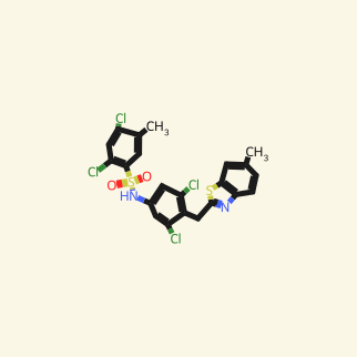 Cc1ccc2nc(Cc3c(Cl)cc(NS(=O)(=O)c4cc(C)c(Cl)cc4Cl)cc3Cl)sc2c1